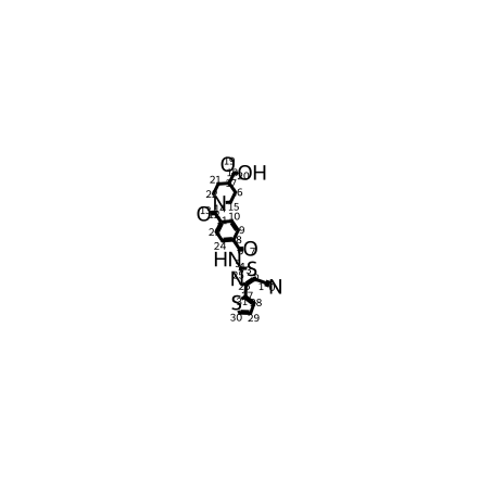 N#Cc1sc(NC(=O)c2ccc(C(=O)N3CCC(C(=O)O)CC3)cc2)nc1-c1cccs1